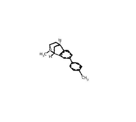 Cc1ccc(-c2ccc3c(c2)[C@H]2C[C@H]3CCN2C)cc1